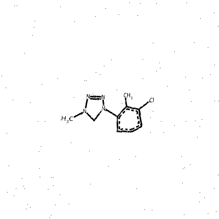 Cc1c(Cl)cccc1N1CN(C)N=N1